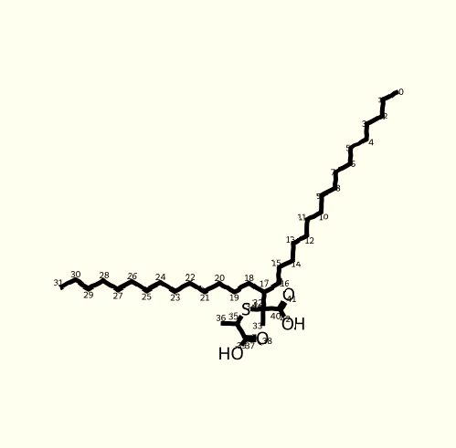 CCCCCCCCCCCCCCCCCC(CCCCCCCCCCCCCC)C(C)(SC(C)C(=O)O)C(=O)O